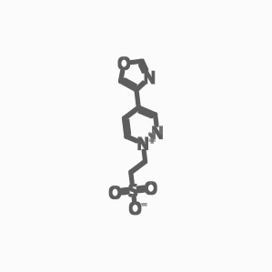 O=S(=O)([O-])CC[n+]1ccc(-c2cocn2)cn1